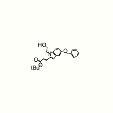 CC(C)(C)OC(=O)C=Cc1cc2cc(OCc3ccccc3)ccc2n1CCO